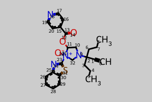 C#CC(CCC)(CCC)N1CC(OC(=O)c2ccncc2)[N+]([O-])(c2nc3ccccc3s2)C1